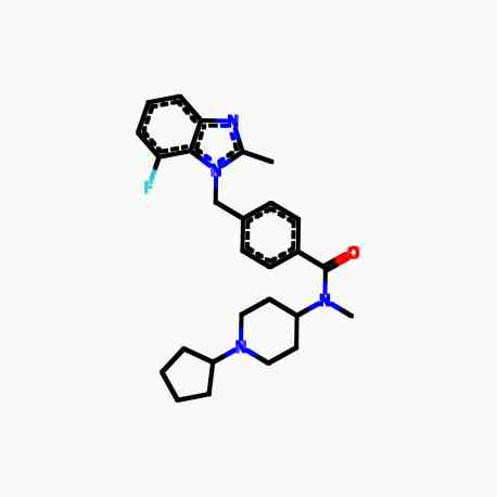 Cc1nc2cccc(F)c2n1Cc1ccc(C(=O)N(C)C2CCN(C3CCCC3)CC2)cc1